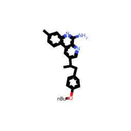 CCCCOc1ccc(CC(C)c2cnc3c(N)nc4cc(C)ccc4c3c2)cc1